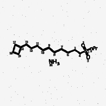 CCCS(=O)(=O)CCCCCCCCCCC1CCC1.N